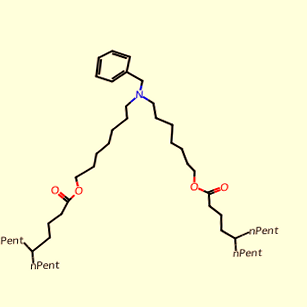 CCCCCC(CCCCC)CCCC(=O)OCCCCCCCN(CCCCCCCOC(=O)CCCC(CCCCC)CCCCC)Cc1ccccc1